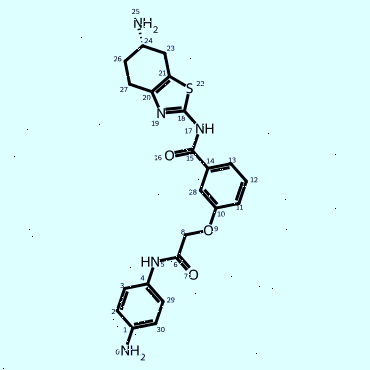 Nc1ccc(NC(=O)COc2cccc(C(=O)Nc3nc4c(s3)C[C@@H](N)CC4)c2)cc1